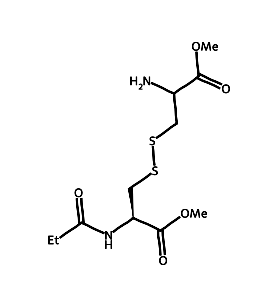 CCC(=O)N[C@@H](CSSCC(N)C(=O)OC)C(=O)OC